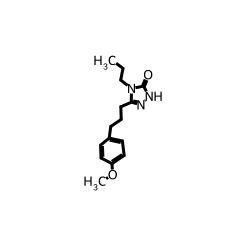 CCCn1c(CCCc2ccc(OC)cc2)n[nH]c1=O